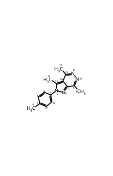 Cc1ccc(-n2nc3c(C)nnc(C)c3c2C)cc1